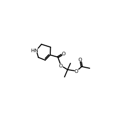 CC(=O)OC(C)(C)OC(=O)C1=CCNCC1